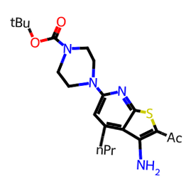 CCCc1cc(N2CCN(C(=O)OC(C)(C)C)CC2)nc2sc(C(C)=O)c(N)c12